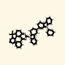 CC1(C)c2ccccc2-c2c1ccc1nc(-n3c4ccccc4c4cc(-c5ccc6c7ccccc7n(-c7ccccc7)c6c5)ccc43)nc(-c3ccccc3)c21